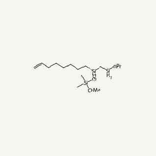 C=CCCCCCC[SiH](C[SiH2]CCC)O[Si](C)(C)OC